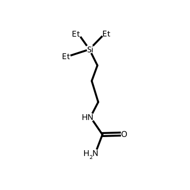 CC[Si](CC)(CC)CCCNC(N)=O